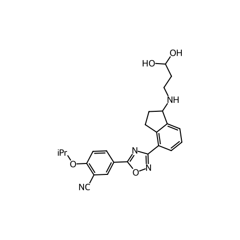 CC(C)Oc1ccc(-c2nc(-c3cccc4c3CCC4NCCC(O)O)no2)cc1C#N